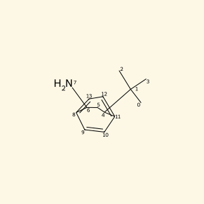 CC(C)(C)C1CC(N)c2ccc1cc2